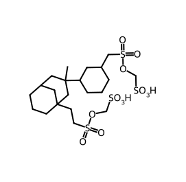 CC1(C2CCCC(CS(=O)(=O)OCS(=O)(=O)O)C2)CC2CCCC(CCS(=O)(=O)OCS(=O)(=O)O)(C2)C1